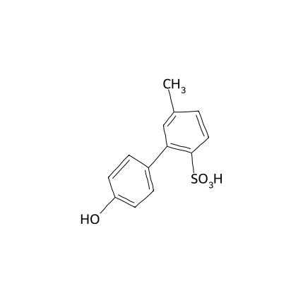 Cc1ccc(S(=O)(=O)O)c(-c2ccc(O)cc2)c1